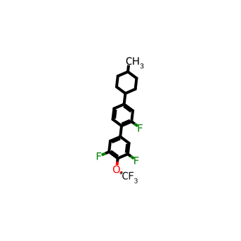 CC1CCC(c2ccc(-c3cc(F)c(OC(F)(F)F)c(F)c3)c(F)c2)CC1